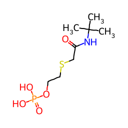 CC(C)(C)NC(=O)CSCCOP(=O)(O)O